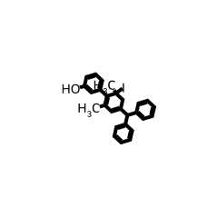 CC1=C(c2cccc(O)c2)C(C)(I)CC(C(c2ccccc2)c2ccccc2)=C1